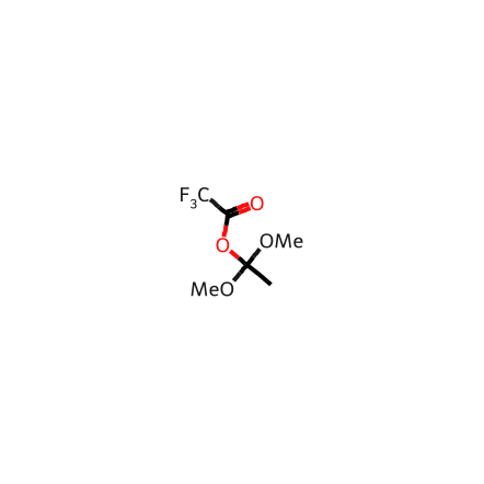 COC(C)(OC)OC(=O)C(F)(F)F